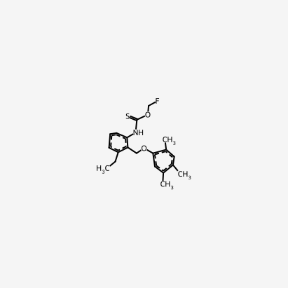 CCc1cccc(NC(=S)OCF)c1COc1cc(C)c(C)cc1C